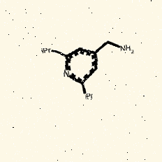 CC(C)c1cc(CN)cc(C(C)C)n1